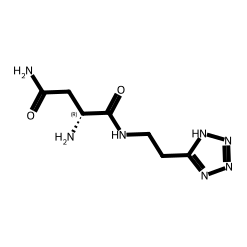 NC(=O)C[C@@H](N)C(=O)NCCc1nnn[nH]1